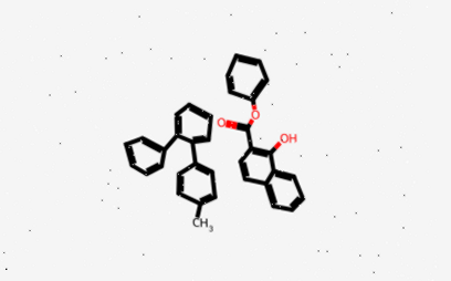 Cc1ccc(-c2ccccc2-c2ccccc2)cc1.O=C(Oc1ccccc1)c1ccc2ccccc2c1O